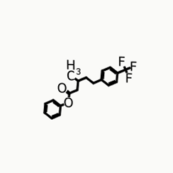 CC(CCc1ccc(C(F)(F)F)cc1)CC(=O)Oc1ccccc1